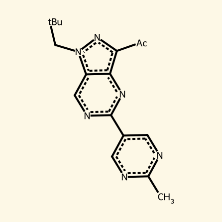 CC(=O)c1nn(CC(C)(C)C)c2cnc(-c3cnc(C)nc3)nc12